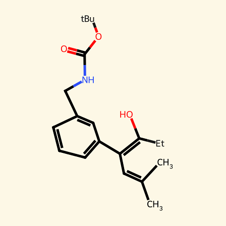 CC/C(O)=C(\C=C(C)C)c1cccc(CNC(=O)OC(C)(C)C)c1